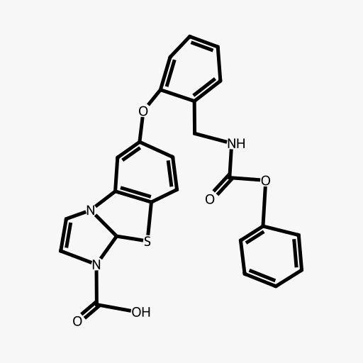 O=C(NCc1ccccc1Oc1ccc2c(c1)N1C=CN(C(=O)O)C1S2)Oc1ccccc1